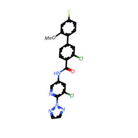 COc1cc(F)ccc1-c1ccc(C(=O)Nc2cnc(-n3nccn3)c(Cl)c2)c(Cl)c1